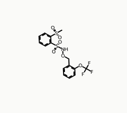 CS(=O)(=O)c1ccccc1S(=O)(=O)NOCc1ccccc1OC(F)(F)F